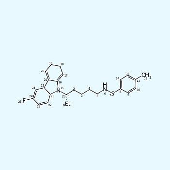 CC[C@@H](CCCCNSc1ccc(C)cc1)N1C2=CCCC=C2C2C=C(F)C=CC21